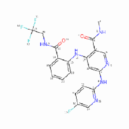 CNC(=O)c1cnc(Nc2ccc(F)cn2)cc1Nc1ccccc1C(=O)NCC(F)(F)F